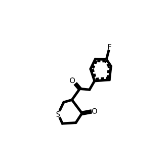 O=C1CCSCC1C(=O)Cc1ccc(F)cc1